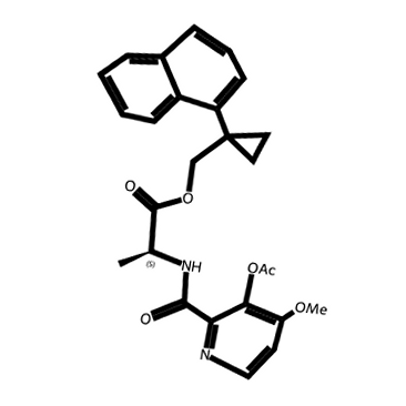 COc1ccnc(C(=O)N[C@@H](C)C(=O)OCC2(c3cccc4ccccc34)CC2)c1OC(C)=O